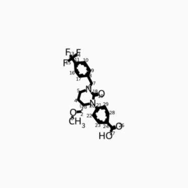 COC[C@@H]1CCN(Cc2ccc(C(F)(F)F)cc2)C(=O)N1c1ccc(C(=O)O)cc1